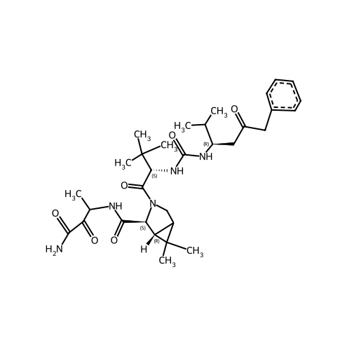 CC(NC(=O)[C@@H]1[C@@H]2C(CN1C(=O)[C@@H](NC(=O)N[C@H](CC(=O)Cc1ccccc1)C(C)C)C(C)(C)C)C2(C)C)C(=O)C(N)=O